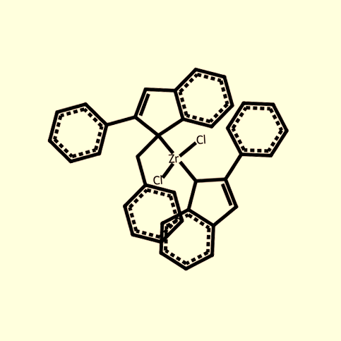 [Cl][Zr]([Cl])([CH]1C(c2ccccc2)=Cc2ccccc21)[C]1(Cc2ccccc2)C(c2ccccc2)=Cc2ccccc21